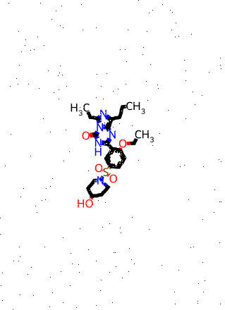 CCCc1nc(CC)n2c(=O)[nH]c(-c3cc(S(=O)(=O)N4CCC(O)CC4)ccc3OCC)nc12